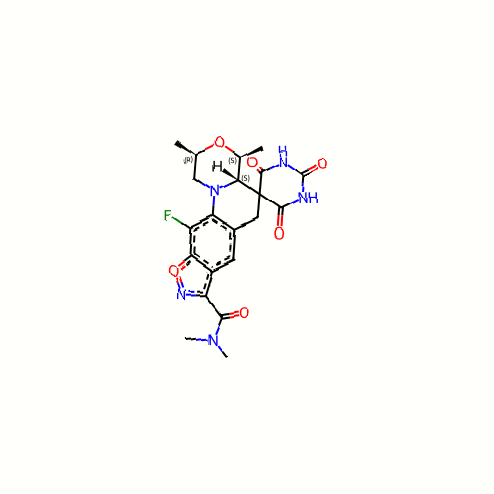 C[C@@H]1CN2c3c(cc4c(C(=O)N(C)C)noc4c3F)CC3(C(=O)NC(=O)NC3=O)[C@H]2[C@H](C)O1